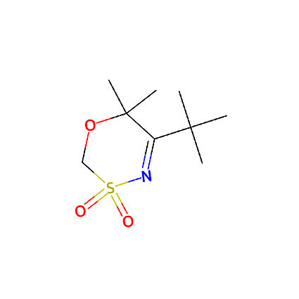 CC(C)(C)C1=NS(=O)(=O)COC1(C)C